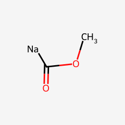 CO[C](=O)[Na]